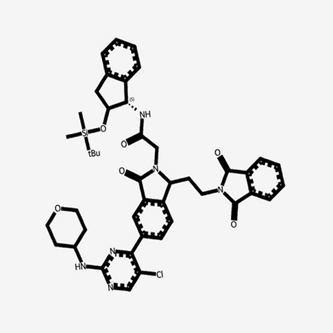 CC(C)(C)[Si](C)(C)OC1Cc2ccccc2[C@@H]1NC(=O)CN1C(=O)c2cc(-c3nc(NC4CCOCC4)ncc3Cl)ccc2C1CCN1C(=O)c2ccccc2C1=O